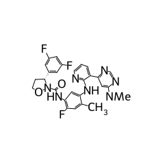 CNc1cc(-c2cccnc2Nc2cc(NC(=O)N3OCC[C@@H]3c3cc(F)cc(F)c3)c(F)cc2C)ncn1